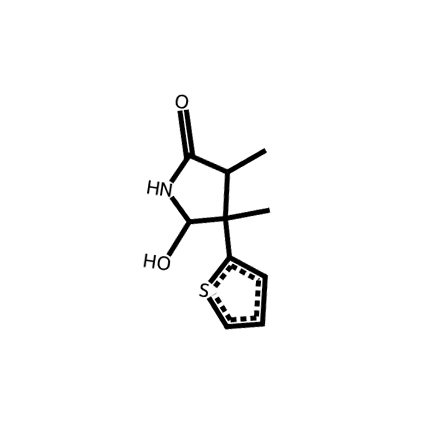 CC1C(=O)NC(O)C1(C)c1cccs1